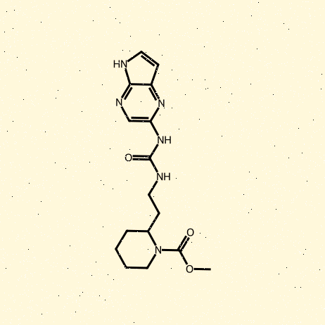 COC(=O)N1CCCCC1CCNC(=O)Nc1cnc2[nH]ccc2n1